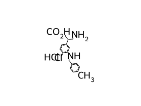 Cc1ccc(CNc2cc([C@H](CN)CC(=O)O)ccc2Cl)cc1.Cl